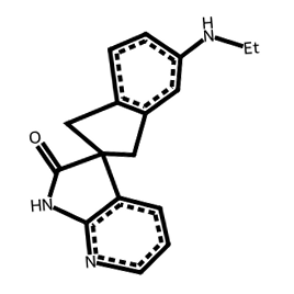 CCNc1ccc2c(c1)CC1(C2)C(=O)Nc2ncccc21